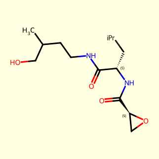 CC(C)C[C@H](NC(=O)[C@@H]1CO1)C(=O)NCCC(C)CO